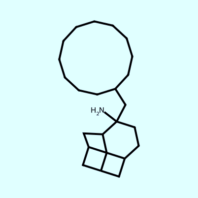 NC1(CC2CCCCCCCCCCC2)CCC2CC3CC4CC1C234